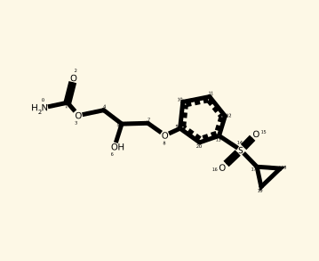 NC(=O)OCC(O)COc1cccc(S(=O)(=O)C2CC2)c1